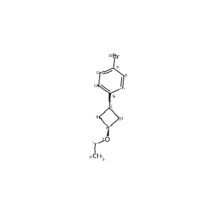 CCO[C@H]1C[C@@H](c2ccc(Br)cc2)C1